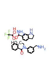 NC(=O)c1ccc2c(c1)NCC2.NCc1cccc(N(CC(=O)O)C(=O)c2ccccc2)c1.O=C(O)C(F)(F)F